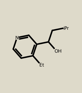 CCc1ccncc1C(O)CC(C)C